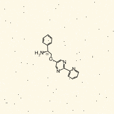 N[C@H](COc1cnc(-c2ccccn2)nc1)c1ccccc1